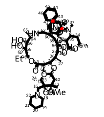 CC[C@H]1OC(=O)[C@H](C)[C@@H](O[C@H]2C[C@@](C)(OC)[C@](O)(CN3CCCCC3)[C@H](C)O2)[C@H](C)[C@@H](O[C@H]2O[C@@H](C)C[C@@H](N(C)S(=O)(=O)Nc3ccccc3)[C@@H]2Oc2ccccc2)[C@](C)(O)C[C@@H](C)CN[C@H](C)[C@@H](O)[C@]1(C)O